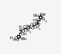 Cc1cc(C=C(O)C(=O)OCC(C)(C)C2OCC3(CO2)COC(C(C)(C)COC(=O)C(O)=Cc2cc(C)c(O)c(C(C)(C)C)c2)OC3)cc(C(C)(C)C)c1O